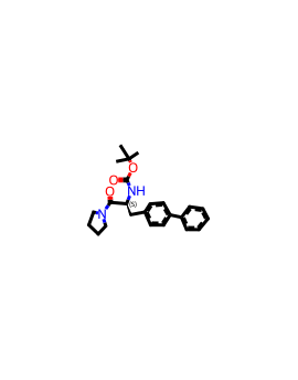 CC(C)(C)OC(=O)N[C@@H](Cc1ccc(-c2ccccc2)cc1)C(=O)N1CCCC1